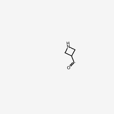 O=[C]C1CNC1